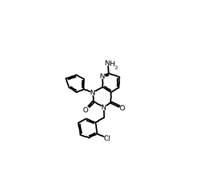 Nc1ccc2c(=O)n(Cc3ccccc3Cl)c(=O)n(-c3ccccc3)c2n1